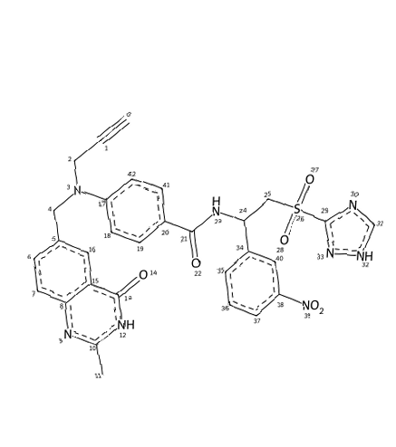 C#CCN(Cc1ccc2nc(C)[nH]c(=O)c2c1)c1ccc(C(=O)NC(CS(=O)(=O)c2nc[nH]n2)c2cccc([N+](=O)[O-])c2)cc1